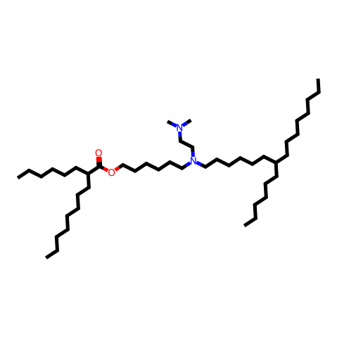 CCCCCCCCC(CCCCCC)CCCCCCN(CCCCCCOC(=O)C(CCCCCC)CCCCCCCC)CCN(C)C